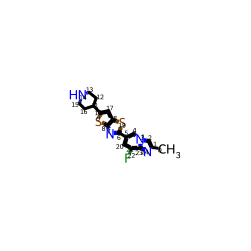 Cc1cn2cc(-c3nc4sc(C5CCNCC5)cc4s3)cc(F)c2n1